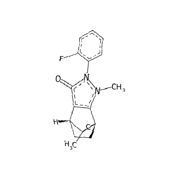 Cn1c2c(c(=O)n1-c1ccccc1F)[C@H]1CC[C@@]23CC13C